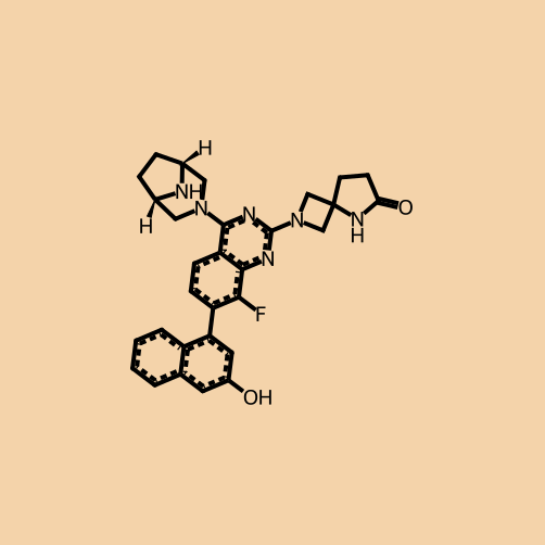 O=C1CCC2(CN(c3nc(N4C[C@H]5CC[C@@H](C4)N5)c4ccc(-c5cc(O)cc6ccccc56)c(F)c4n3)C2)N1